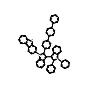 c1ccc(-c2ccc(-c3ccc(-c4c(-c5c(-c6ccccc6)n(-c6ccccc6)c6ccccc56)c5ccccc5n4-c4ccc5c(c4)oc4ccccc45)cc3)cc2)cc1